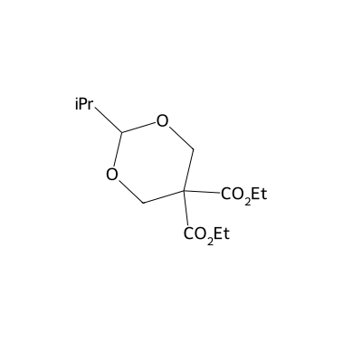 CCOC(=O)C1(C(=O)OCC)COC(C(C)C)OC1